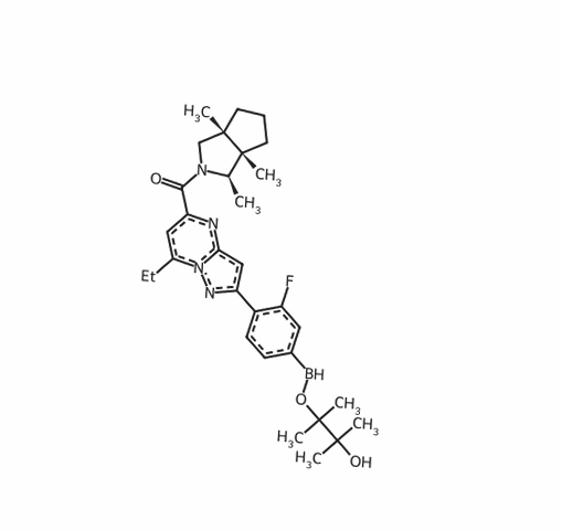 CCc1cc(C(=O)N2C[C@]3(C)CCC[C@]3(C)[C@H]2C)nc2cc(-c3ccc(BOC(C)(C)C(C)(C)O)cc3F)nn12